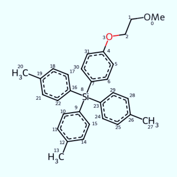 COCCOc1ccc([Si](c2ccc(C)cc2)(c2ccc(C)cc2)c2ccc(C)cc2)cc1